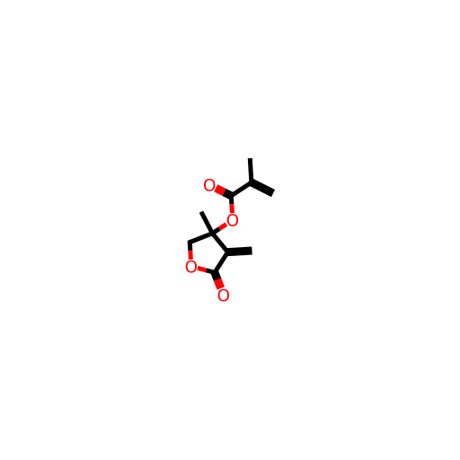 C=C(C)C(=O)OC1(C)COC(=O)C1=C